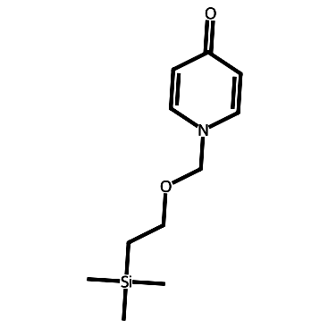 C[Si](C)(C)CCOCn1ccc(=O)cc1